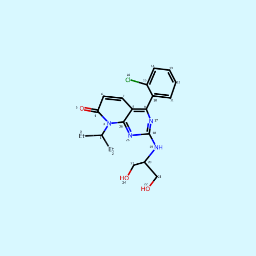 CCC(CC)n1c(=O)ccc2c(-c3ccccc3Cl)nc(NC(CO)CO)nc21